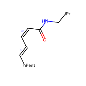 CCCCC/C=C/C=C\C(=O)NCC(C)C